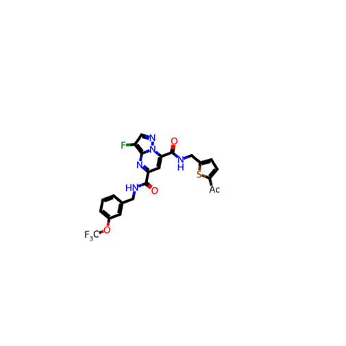 CC(=O)c1ccc(CNC(=O)c2cc(C(=O)NCc3cccc(OC(F)(F)F)c3)nc3c(F)cnn23)s1